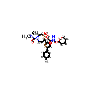 CCc1ccc(-c2ccc([C@@]3(CC(=O)NOC4CCCCO4)CCN(C(=O)N(C)C)CCS3(=O)=O)s2)cc1